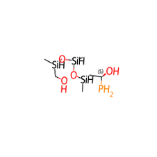 C[SiH](CO)O[SiH](C)O[SiH](C)C[C@@H](O)P